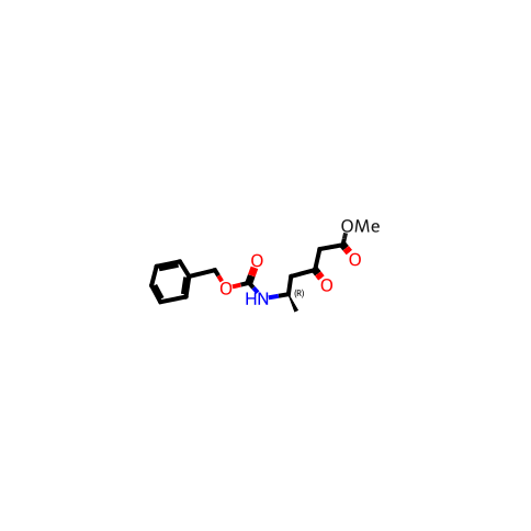 COC(=O)CC(=O)C[C@@H](C)NC(=O)OCc1ccccc1